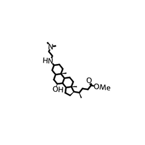 COC(=O)CC[C@@H](C)[C@H]1CCC2C3C(CC[C@@]21C)[C@@]1(C)CCC(NCCN(C)C)CC1C[C@H]3O